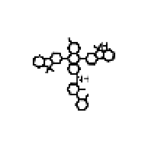 CC1CCC2C(C1)C(C1CCC3C4CCCCC4C(C)(C)C3C1)C1=C(CC(NC3CCCC(C4CCCCC4C)[C@@H]3C)CC1)C2C1CCC2C3CCCC[C@H]3C(C)(C)C2C1